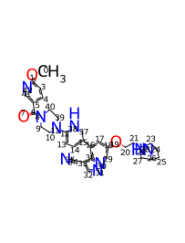 COc1ccc(C(=O)N2CCN(C3=CC=C(c4cc(OCCN5CC6CC(C5)N6)cn5ncc(C#N)c45)CN3)CC2)cn1